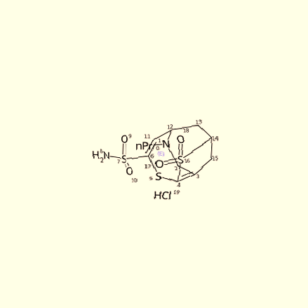 CCCN1CC2=C3S/C(S(N)(=O)=O)=C\C1CC(C2)S3(=O)=O.Cl